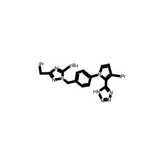 CCCCc1nc(CC(C)C)nn1Cc1ccc(-n2ccc(C(C)C)c2-c2nnn[nH]2)cc1